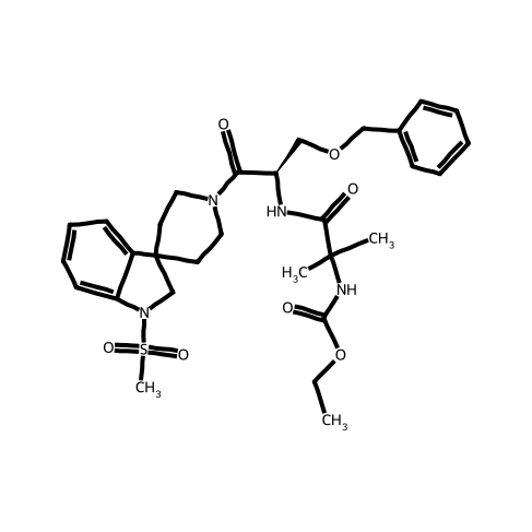 CCOC(=O)NC(C)(C)C(=O)N[C@H](COCc1ccccc1)C(=O)N1CCC2(CC1)CN(S(C)(=O)=O)c1ccccc12